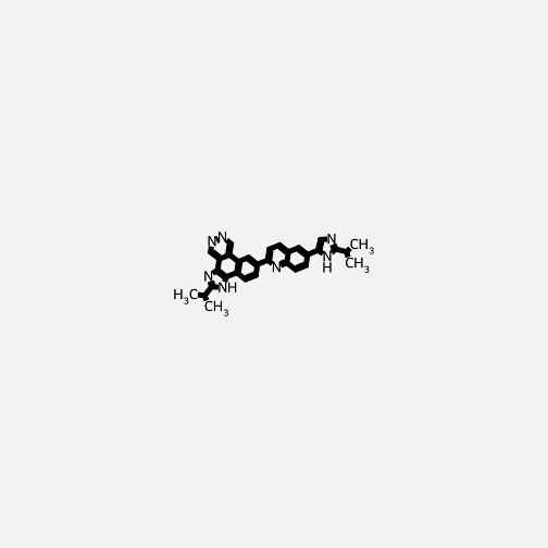 CC(C)c1ncc(-c2ccc3nc(-c4ccc5c(c4)c4cnncc4c4nc(C(C)C)[nH]c54)ccc3c2)[nH]1